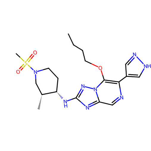 CCCCOc1c(-c2cn[nH]c2)ncc2nc(N[C@H]3CCN(S(C)(=O)=O)C[C@H]3C)nn12